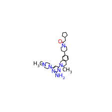 CC1Cc2ccc(C3CCN(C(=O)CC4CCCC4)CC3)cc2CN1c1cc(N2CCN(C)CC2)nc(N)n1